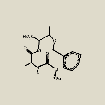 CC(OCc1ccccc1)C(NC(=O)C(C)N(C)C(=O)OC(C)(C)C)C(=O)O